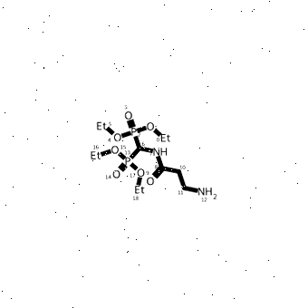 CCOP(=O)(OCC)C(NC(=O)CCN)P(=O)(OCC)OCC